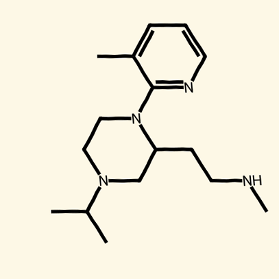 CNCCC1CN(C(C)C)CCN1c1ncccc1C